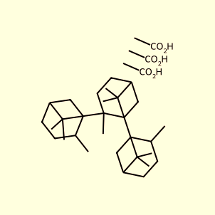 CC(=O)O.CC(=O)O.CC(=O)O.CC1CCC2CC1(C1(C)CCC3CC1(C14CC(CCC1C)C4(C)C)C3(C)C)C2(C)C